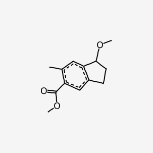 COC(=O)c1cc2c(cc1C)C(OC)CC2